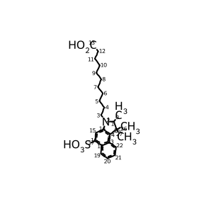 CC1N(CCCCCCCCCCC(=O)O)c2cc(S(=O)(=O)O)c3ccccc3c2C1(C)C